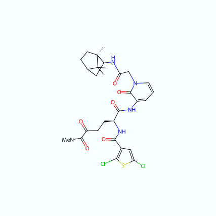 CNC(=O)C(=O)CC[C@H](NC(=O)c1cc(Cl)sc1Cl)C(=O)Nc1cccn(CC(=O)NC2CC3CC[C@]2(C)C3(C)C)c1=O